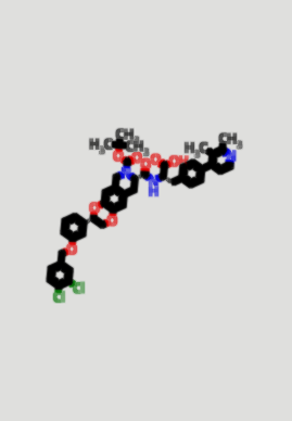 Cc1nccc(-c2ccc(C[C@H](NC(=O)[C@@H]3Cc4cc5c(cc4CN3C(=O)OC(C)(C)C)O[C@@H](c3cccc(OCc4ccc(Cl)c(Cl)c4)c3)CO5)C(=O)O)cc2)c1C